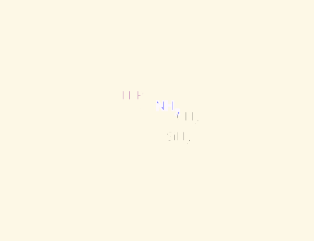 C.N.P.[SiH4]